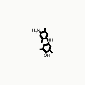 Cc1cc(Nc2cc(C)c(O)c(C)c2)c(C)cc1N